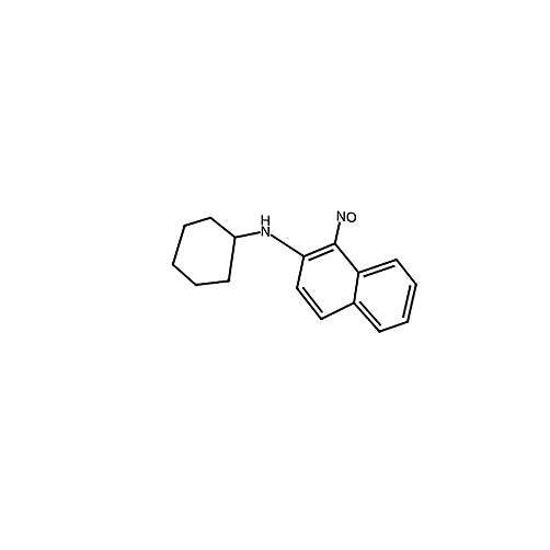 O=Nc1c(NC2CCCCC2)ccc2ccccc12